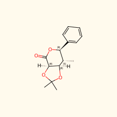 C[C@@H]1[C@H]2OC(C)(C)O[C@H]2C(=O)O[C@H]1c1ccccc1